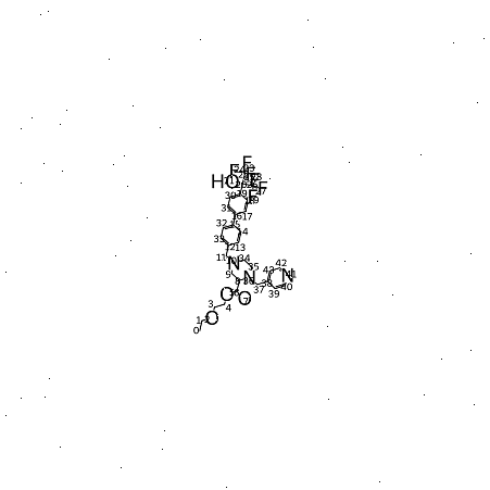 CCOCCOC(=O)C1CN(Cc2ccc(-c3ccc(C(O)(C(F)(F)F)C(F)(F)F)cc3)cc2)CCN1Cc1ccncc1